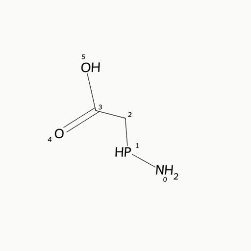 NPCC(=O)O